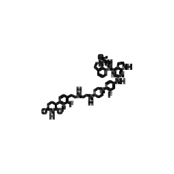 CS(=O)(=O)N1CCc2cccc(Nc3nc(Nc4ccc(N5CCC(NCCNCCc6ccc(C7CCC(=O)NC7=O)c(F)c6F)CC5)c(F)c4)nc4[nH]ccc34)c21